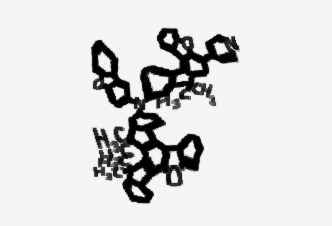 CC1(C)c2cc(N(c3ccc4c(c3)C(C)(C)c3c5c(c6oc7ccccc7c6c3-4)-c3ccccc3C5(C)C)c3ccc4oc5ccccc5c4c3)ccc2-c2c1cc(-c1ccncc1)c1oc3ccccc3c21